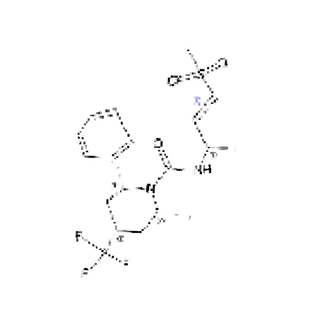 C[C@@H]1C[C@H](C(F)(F)F)C[C@H](c2ccccc2)N1C(=O)N[C@@H](C)/C=C/S(C)(=O)=O